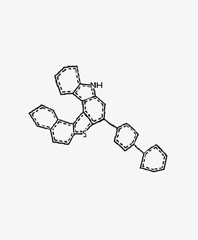 c1ccc(-c2ccc(-c3cc4[nH]c5ccccc5c4c4c3sc3ccc5ccccc5c34)cc2)cc1